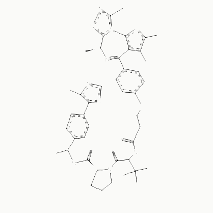 Cc1ncsc1-c1ccc(C(C)NC(=O)[C@@H]2C[C@@H](O)CN2C(=O)C(NC(=O)CCOc2ccc(C3=N[C@@H](C)c4nnc(C)n4-c4sc(C)c(C)c43)cc2)C(C)(C)C)cc1